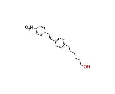 O=[N+]([O-])c1ccc(C=Cc2ccc(CCCCCCO)cc2)cc1